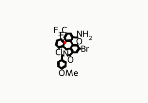 COc1ccc(CN2C(=O)c3cc(Br)cc(-c4c(F)cc(C(F)(F)F)cc4C(N)=O)c3C2c2cc(F)ccc2Cl)cc1